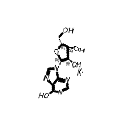 OC[C@H]1O[C@@H](n2cnc3c(O)ncnc32)[C@H](O)[C@@H]1O.[K]